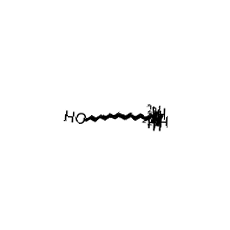 [2H]C([2H])([2H])C([2H])([2H])CCCCCCCCCCCCCCO